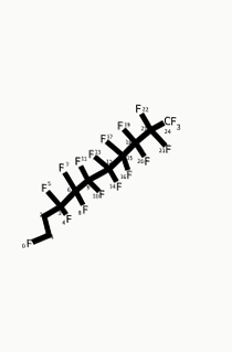 F[CH]CC(F)(F)C(F)(F)C(F)(F)C(F)(F)C(F)(F)C(F)(F)C(F)(F)C(F)(F)F